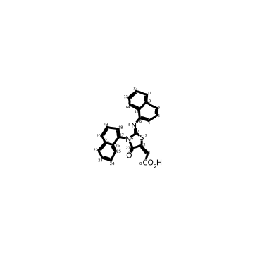 O=C(O)C=C1SC(=Nc2cccc3ccccc23)N(c2cccc3ccccc23)C1=O